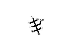 [2H]C([2H])([2H])C(O)(CO)C([2H])([2H])[2H]